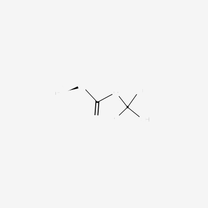 C[CH][C@H](C)OC(=O)OC(C)(C)CC